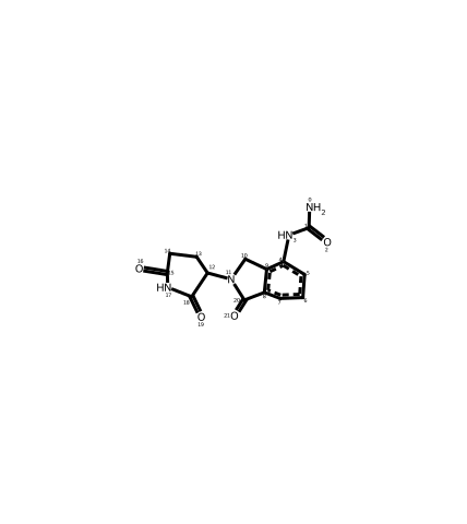 NC(=O)Nc1cccc2c1CN(C1CCC(=O)NC1=O)C2=O